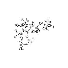 COC(=O)N(CC(C)(C)NC(=O)OC(C)(C)C)C1(c2cc(Cl)cc(Cl)c2)CC1